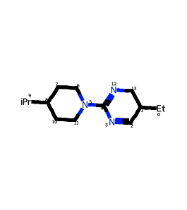 CCC1C=NC(N2CCC(C(C)C)CC2)=NC1